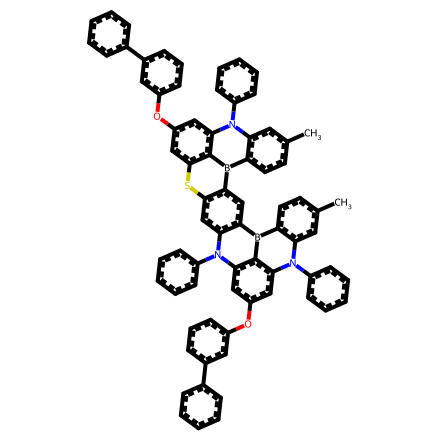 Cc1ccc2c(c1)N(c1ccccc1)c1cc(Oc3cccc(-c4ccccc4)c3)cc3c1B2c1cc2c(cc1S3)N(c1ccccc1)c1cc(Oc3cccc(-c4ccccc4)c3)cc3c1B2c1ccc(C)cc1N3c1ccccc1